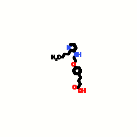 CCCCc1ncccc1NCCOc1ccc(CCCC(=O)O)cc1